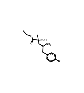 CCOC(=O)[C@](C)(O)CN(N)Cc1ccc(Br)cc1